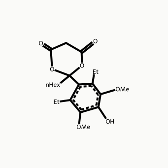 CCCCCCC1(c2c(CC)c(OC)c(O)c(OC)c2CC)OC(=O)CC(=O)O1